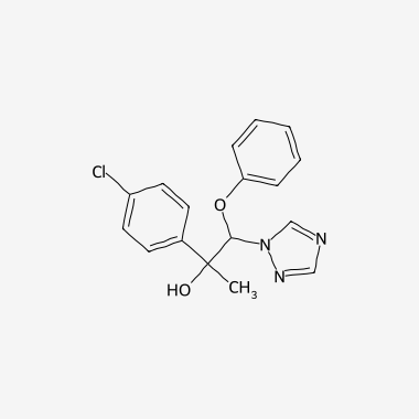 CC(O)(c1ccc(Cl)cc1)C(Oc1ccccc1)n1cncn1